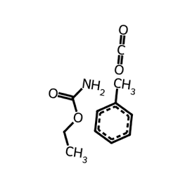 CCOC(N)=O.Cc1ccccc1.O=C=O